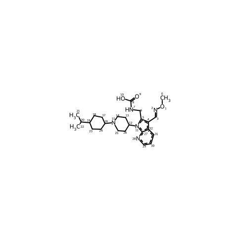 CON=Cc1c(CNC(=O)O)n(C2CCN(C3CCC(C(C)C)CC3)CC2)c2ncccc12